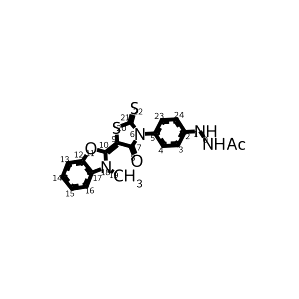 CC(=O)NNc1ccc(N2C(=O)C(=C3Oc4ccccc4N3C)SC2=S)cc1